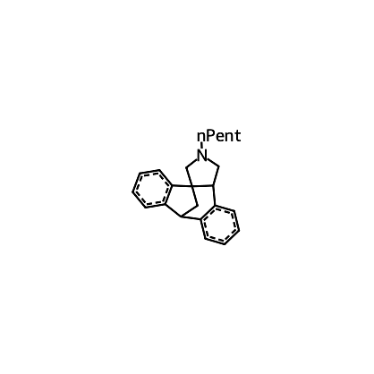 CCCCCN1CC2c3ccccc3C3CC2(C1)c1ccccc13